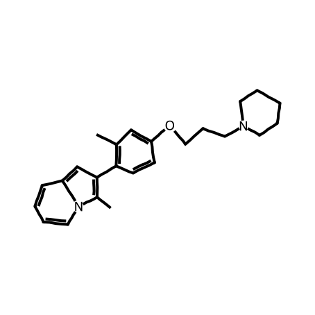 Cc1cc(OCCCN2CCCCC2)ccc1-c1cc2ccccn2c1C